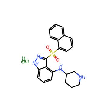 Cl.Cl.O=S(=O)(c1cccc2ccccc12)c1n[nH]c2cccc(NC3CCCNC3)c12